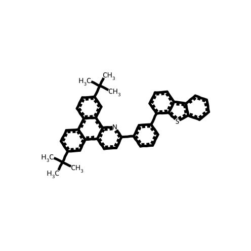 CC(C)(C)c1ccc2c(c1)c1ccc(-c3cccc(-c4cccc5c4sc4ccccc45)c3)nc1c1cc(C(C)(C)C)ccc21